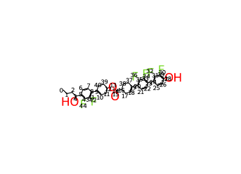 CCCC(O)c1ccc(C2=CCC(OC(=O)C3CC=C(c4ccc(-c5ccc(O)c(F)c5F)c(F)c4F)CC3)CC2)c(F)c1F